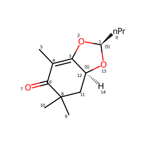 CCC[C@@H]1OC2=C(C)C(=O)C(C)(C)C[C@@H]2O1